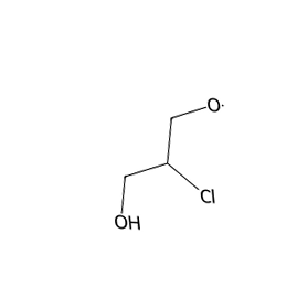 [O]CC(Cl)CO